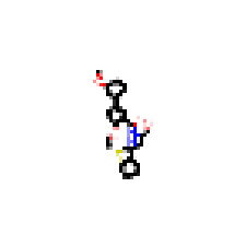 CCOc1ccc(-c2cccc(OC)c2)cc1C(=O)N[C@@H](CO)CC1CSc2ccccc21